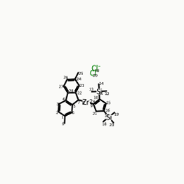 Cc1ccc2c(c1)[CH]([Zr+2][C]1=C([Si](C)(C)C)C=C([Si](C)(C)C)C1)c1cc(C)ccc1-2.[Cl-].[Cl-]